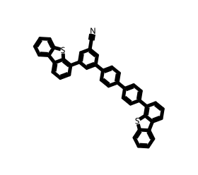 N#Cc1cc(-c2ccc(-c3ccc(-c4cccc5c4sc4ccccc45)cc3)cc2)cc(-c2cccc3c2sc2ccccc23)c1